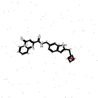 O=C(NCc1ccc2cc(CN3CC4CC3C4)[nH]c2c1)c1cc(=O)n2ccccc2n1